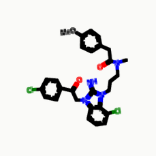 COc1ccc(CC(=O)N(C)CCCn2c(=N)n(CC(=O)c3ccc(Cl)cc3)c3cccc(Cl)c32)cc1